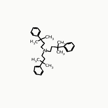 CC(C)(C[CH2][Al]([CH2]CC(C)(C)c1ccccc1)[CH2]CC(C)(C)c1ccccc1)c1ccccc1